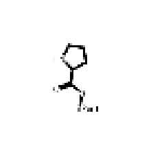 CCCCCOC(=O)C1CCCN1